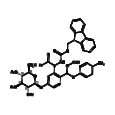 CCC(=O)N(NC(=O)OCC1c2ccccc2-c2ccccc21)c1cc(O[C@@H]2O[C@H](C(=O)O)[C@@H](OC(C)=O)[C@H](OC(C)=O)[C@H]2OC(C)=O)ccc1C(OC=O)Oc1ccc([N+](=O)[O-])cc1